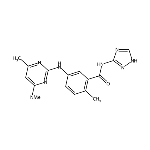 CNc1cc(C)nc(Nc2ccc(C)c(C(=O)Nc3nc[nH]n3)c2)n1